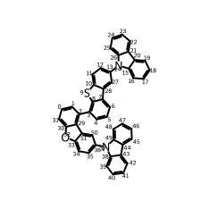 c1cc(-c2cccc3c2sc2ccc(-n4c5ccccc5c5ccccc54)cc23)c2c(c1)oc1ccc(-n3c4ccccc4c4ccccc43)cc12